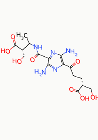 CC(NC(=O)c1nc(N)c(C(=O)CC[C@H](CO)C(=O)O)nc1N)[C@H](CO)C(=O)O